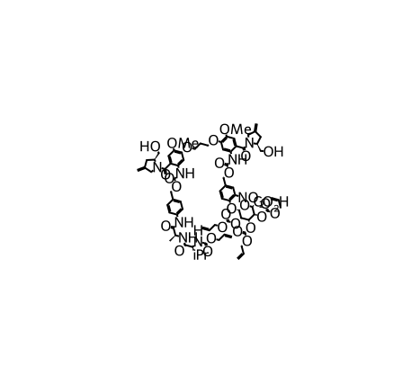 C=CCOC(=O)N[C@H](C(=O)N[C@@H](C)C(=O)Nc1ccc(COC(=O)Nc2cc(OCCCOc3cc(NC(=O)OCc4ccc(O[C@@H]5O[C@H](C(=O)O)[C@@H](OC(=O)OCC=C)[C@H](OC(=O)OCC=C)[C@H]5OC(=O)OCC=C)c([N+](=O)[O-])c4)c(C(=O)N4CC(=C)C[C@H]4CO)cc3OC)c(OC)cc2C(=O)N2CC(=C)C[C@H]2CO)cc1)C(C)C